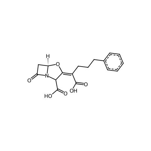 O=C(O)/C(CCCc1ccccc1)=C1/O[C@@H]2CC(=O)N2C1C(=O)O